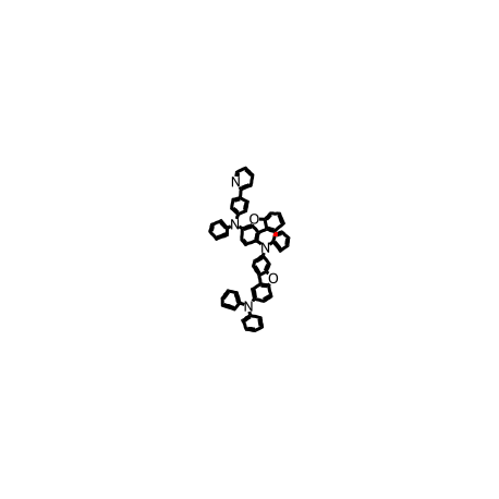 c1ccc(N(c2ccccc2)c2ccc3oc4cc(N(c5ccccc5)c5ccc(N(c6ccccc6)c6ccc(-c7ccccn7)cc6)c6oc7ccccc7c56)ccc4c3c2)cc1